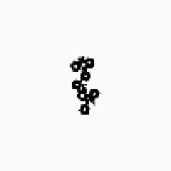 CC1(C)c2ccccc2N(c2cccc(-c3cccc4c3sc3c4ccc4c(-c5ccccc5)nc5ccccc5c43)c2)c2ccccc21